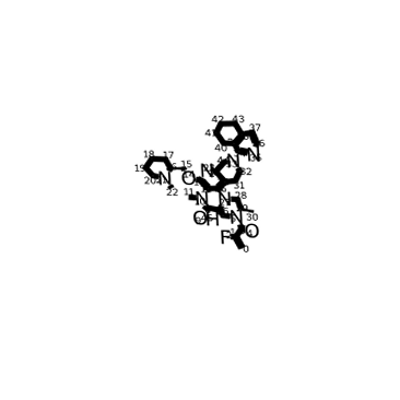 C=C(F)C(=O)N1C[C@@H]2C(=O)N(C)c3c(OC[C@@H]4CCCCN4C)nc4c(c3N2C[C@H]1C)CCN(c1nccc2c1CCCC2)C4